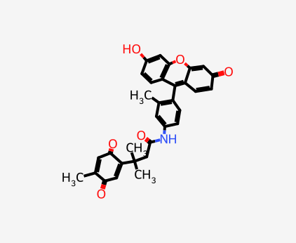 CC1=CC(=O)C(C(C)(C)CC(=O)Nc2ccc(-c3c4ccc(=O)cc-4oc4cc(O)ccc34)c(C)c2)=CC1=O